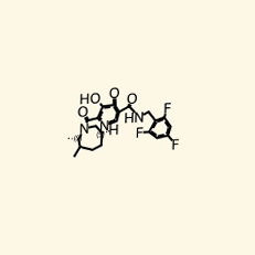 CC1CC[C@H]2CN(C(=O)c3c(O)c(=O)c(C(=O)NCc4c(F)cc(F)cc4F)cn32)[C@H]1C